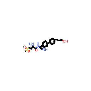 CS(=O)(=O)CCC(N)C(=O)Nc1c[nH]c2cc(-c3ccc(CCCO)cc3)ccc12